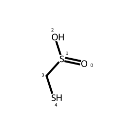 O=S(O)CS